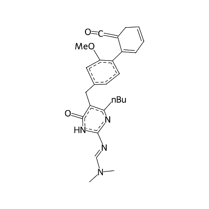 CCCCc1nc(N=CN(C)C)[nH]c(=O)c1Cc1ccc(C2=CC=CCC2=C=O)c(OC)c1